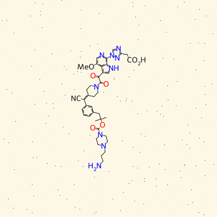 COc1cnc(-n2cnc(CC(=O)O)n2)c2[nH]cc(C(=O)C(=O)N3CCC(=C(C#N)c4cccc(CC(C)(C)OC(=O)N5CCN(CCCN)CC5)c4)CC3)c12